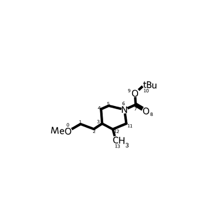 COCCC1CCN(C(=O)OC(C)(C)C)CC1C